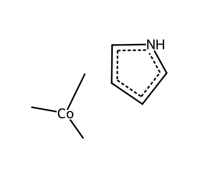 [CH3][Co]([CH3])[CH3].c1cc[nH]c1